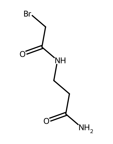 NC(=O)CCNC(=O)CBr